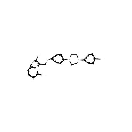 Cc1nc2cccc(C)n2c1CNc1ccc(N2CCN(c3ccc(F)cc3)CC2)cc1